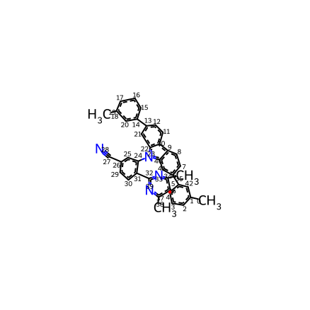 Cc1cccc(-c2ccc3c4ccc(-c5cccc(C)c5)cc4n(-c4cc(C#N)ccc4-c4nc(C)cc(C)n4)c3c2)c1